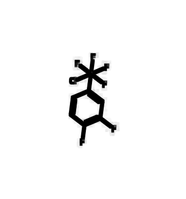 Fc1ccc(S(F)(F)(F)(F)Cl)cc1F